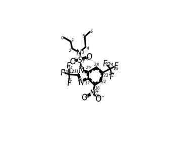 CCCN(CCC)S(=O)(=O)n1c(C(F)(F)F)nc2c([N+](=O)[O-])cc(C(F)(F)F)cc21